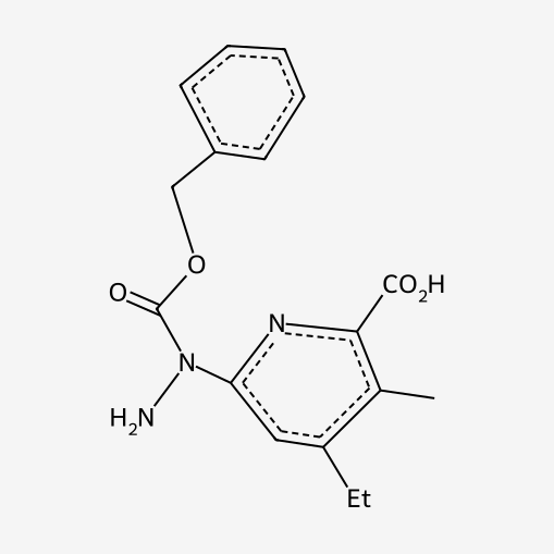 CCc1cc(N(N)C(=O)OCc2ccccc2)nc(C(=O)O)c1C